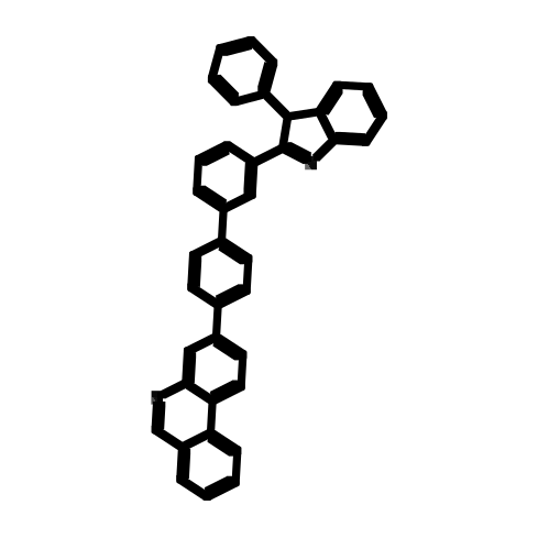 c1ccc(C2C(c3cccc(-c4ccc(-c5ccc6c(c5)ncc5ccccc56)cc4)c3)=Nc3ccccc32)cc1